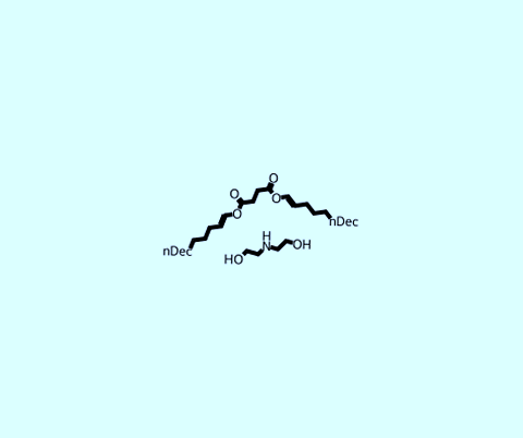 CCCCCCCCCCCCCC=COC(=O)CCC(=O)OC=CCCCCCCCCCCCCC.OCCNCCO